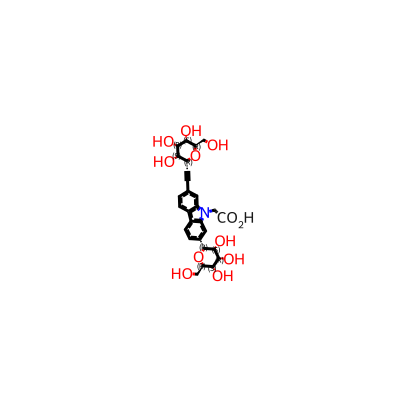 O=C(O)Cn1c2cc(C#C[C@H]3O[C@H](CO)[C@@H](O)[C@H](O)[C@@H]3O)ccc2c2ccc([C@H]3O[C@H](CO)[C@@H](O)[C@H](O)[C@@H]3O)cc21